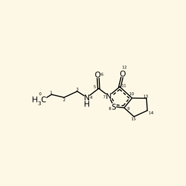 CCCCNC(=O)n1sc2c(c1=O)CCC2